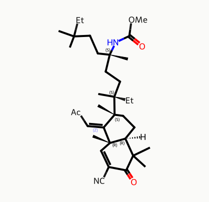 CCC(C)(C)CC[C@@](C)(CC[C@](C)(CC)[C@]1(C)CC[C@H]2C(C)(C)C(=O)C(C#N)=C[C@]2(C)/C1=C/C(C)=O)NC(=O)OC